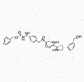 C[C@H](NC(=O)C1C[C@H](c2cccc(CO)c2)CN1)C(=O)NCc1ccc(C(=N)NC(=O)OCc2ccccc2)cc1